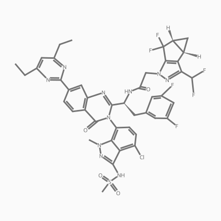 CCc1cc(CC)nc(-c2ccc3c(=O)n(-c4ccc(Cl)c5c(NS(C)(=O)=O)nn(C)c45)c([C@H](Cc4cc(F)cc(F)c4)NC(=O)Cn4nc(C(F)F)c5c4C(F)(F)[C@@H]4C[C@H]54)nc3c2)n1